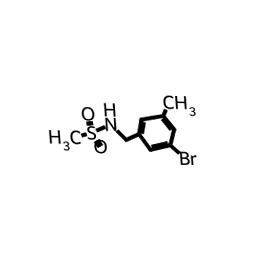 Cc1cc(Br)cc(CNS(C)(=O)=O)c1